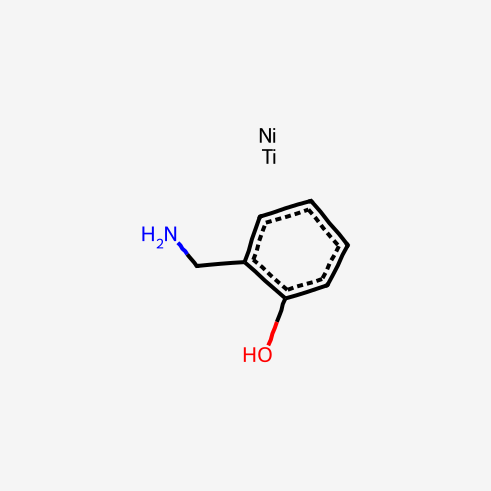 NCc1ccccc1O.[Ni].[Ti]